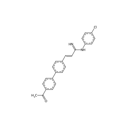 CC(=O)c1ccc(-c2ccc(C=CC(=N)Nc3ccc(Cl)cc3)cc2)cc1